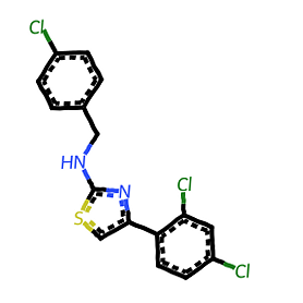 Clc1ccc(CNc2nc(-c3ccc(Cl)cc3Cl)cs2)cc1